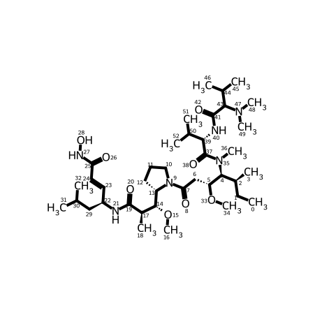 CC[C@H](C)[C@@H]([C@@H](CC(=O)N1CCC[C@H]1[C@H](OC)[C@@H](C)C(=O)N[C@H](/C=C/C(=O)NO)CC(C)C)OC)N(C)C(=O)[C@@H](NC(=O)C(C(C)C)N(C)C)C(C)C